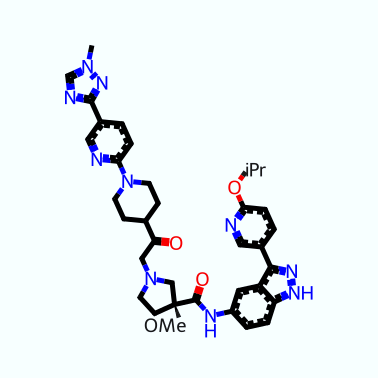 CO[C@@]1(C(=O)Nc2ccc3[nH]nc(-c4ccc(OC(C)C)nc4)c3c2)CCN(CC(=O)C2CCN(c3ccc(-c4ncn(C)n4)cn3)CC2)C1